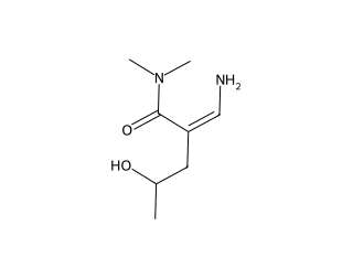 CC(O)CC(=CN)C(=O)N(C)C